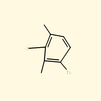 Cc1c[c]c([N+](=O)[O-])c(C)c1Cl